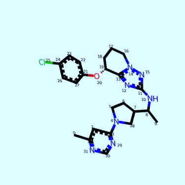 Cc1cc(N2CCC(C(C)Nc3nc4n(n3)CCC[C@H]4Oc3ccc(Cl)cc3)C2)ncn1